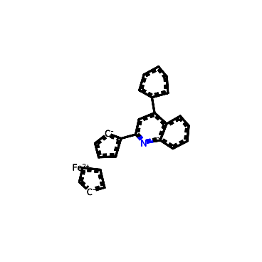 [Fe+2].c1cc[cH-]c1.c1ccc(-c2cc(-c3ccc[cH-]3)nc3ccccc23)cc1